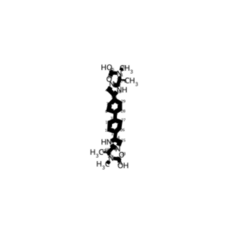 C[C@@H](c1ncc(-c2ccc(-c3ccc(-c4cnc([C@H](C)N(C)C(=O)O)[nH]4)cc3)cc2)[nH]1)N(C)C(=O)O